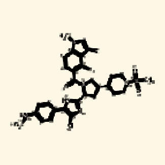 Cn1cc(Cl)c2c(F)c(C(=O)N3C[C@@H](C4CCN(S(C)(=O)=O)CC4)C[C@H]3c3nc(Cl)c(-c4ccc(NC(=O)O)cc4)[nH]3)ccc21